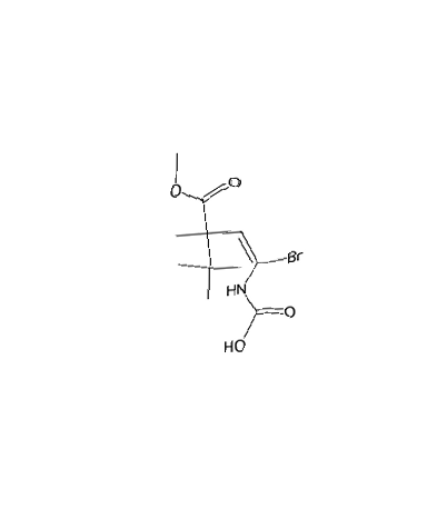 COC(=O)C(C)(/C=C(/Br)NC(=O)O)C(C)(C)C